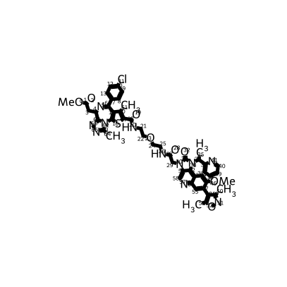 COC(=O)CC1N=C(c2ccc(Cl)cc2)c2c(sc(C(=O)NCCOCCNC(=O)Cn3c(=O)n(C(C)c4ccccn4)c4c5cc(OC)c(-c6c(C)noc6C)cc5ncc43)c2C)-n2c(C)nnc21